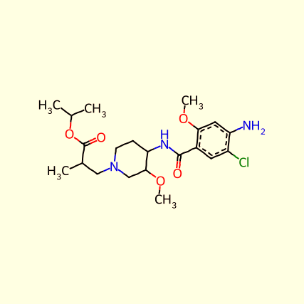 COc1cc(N)c(Cl)cc1C(=O)NC1CCN(CC(C)C(=O)OC(C)C)CC1OC